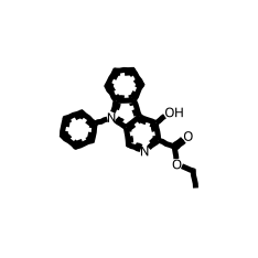 CCOC(=O)c1ncc2c(c1O)c1ccccc1n2-c1ccccc1